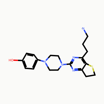 [N]CCCc1nc(N2CCN(c3ccc(O)cc3)CC2)nc2c1SCC2